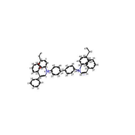 CCc1ccc(N(C=C(c2ccccc2)c2ccccc2)c2ccc(-c3ccc(N(/C=C\c4ccccc4)c4ccc(CC)cc4)cc3)cc2)cc1